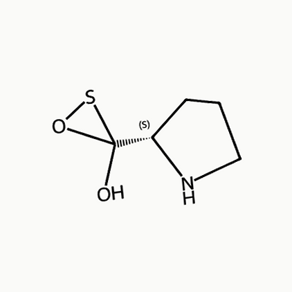 OC1([C@@H]2CCCN2)OS1